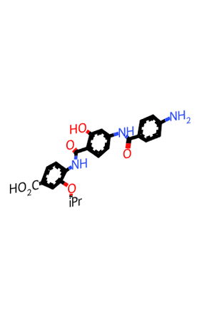 CC(C)Oc1cc(C(=O)O)ccc1NC(=O)c1ccc(NC(=O)c2ccc(N)cc2)cc1O